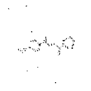 O=C(/C=C/Nc1ccc([N+](=O)[O-])cc1)c1ccccc1